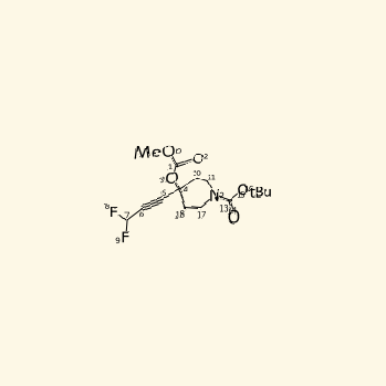 COC(=O)OC1(C#CC(F)F)CCN(C(=O)OC(C)(C)C)CC1